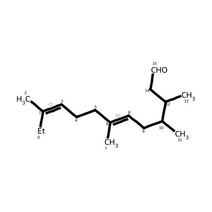 CC/C(C)=C\CC/C(C)=C/CC(C)C(C)CC=O